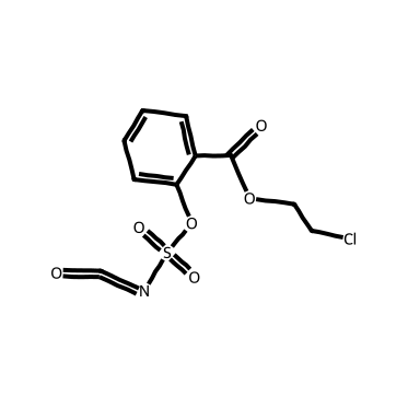 O=C=NS(=O)(=O)Oc1ccccc1C(=O)OCCCl